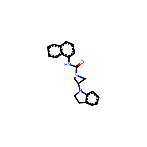 O=C(Nc1cccc2ccccc12)N1CC(N2CCc3ccccc32)C1